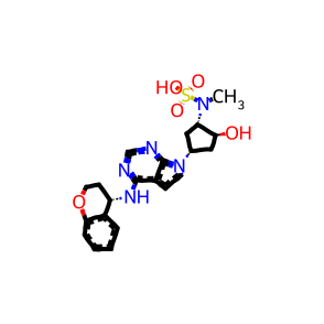 CN([C@H]1C[C@@H](n2ccc3c(N[C@H]4CCOc5ccccc54)ncnc32)C[C@@H]1O)S(=O)(=O)O